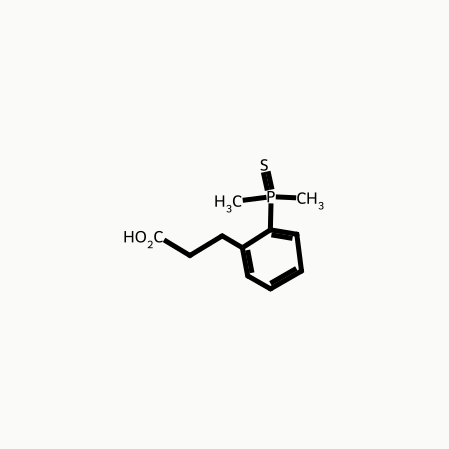 CP(C)(=S)c1ccccc1CCC(=O)O